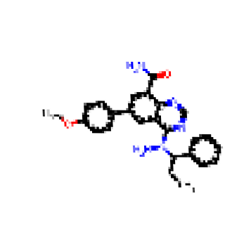 CCC(c1ccccc1)N(N)c1ncnc2c(C(N)=O)cc(-c3ccc(OC)cc3)cc12